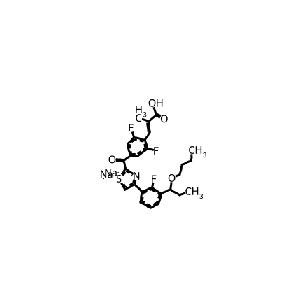 CCCCOC(CC)c1cccc(-c2csc(C(=O)c3cc(F)c(C=C(C)C(=O)O)c(F)c3)n2)c1F.[Na].[Na]